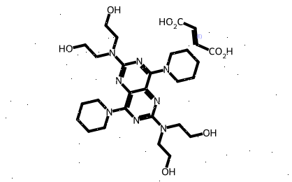 O=C(O)/C=C/C(=O)O.OCCN(CCO)c1nc(N2CCCCC2)c2nc(N(CCO)CCO)nc(N3CCCCC3)c2n1